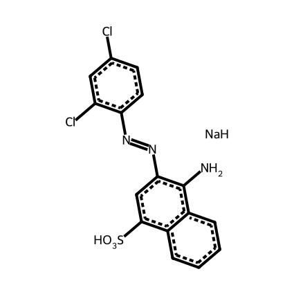 Nc1c(/N=N/c2ccc(Cl)cc2Cl)cc(S(=O)(=O)O)c2ccccc12.[NaH]